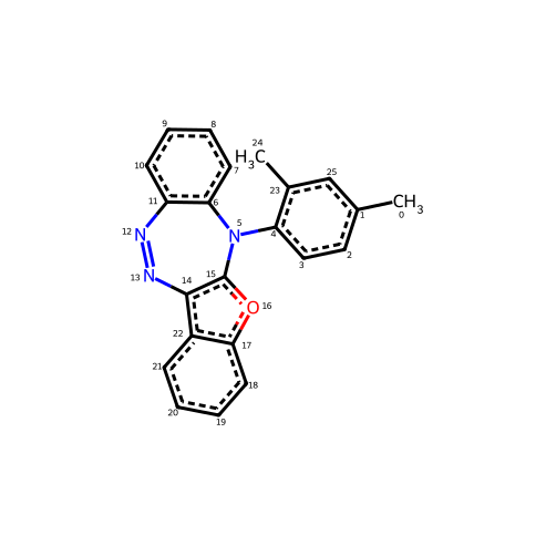 Cc1ccc(N2c3ccccc3N=Nc3c2oc2ccccc32)c(C)c1